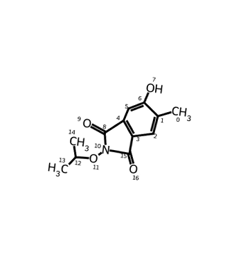 Cc1cc2c(cc1O)C(=O)N(OC(C)C)C2=O